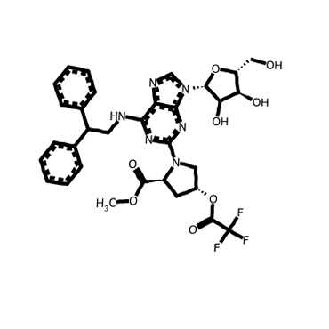 COC(=O)[C@@H]1C[C@@H](OC(=O)C(F)(F)F)CN1c1nc(NCC(c2ccccc2)c2ccccc2)c2ncn([C@@H]3O[C@H](CO)[C@@H](O)C3O)c2n1